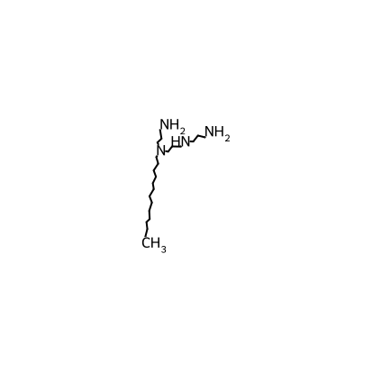 CCCCCCCCCCCCCCN(CCCN)CCCNCCCN